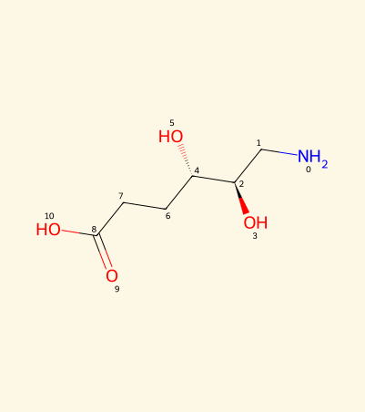 NC[C@@H](O)[C@@H](O)CCC(=O)O